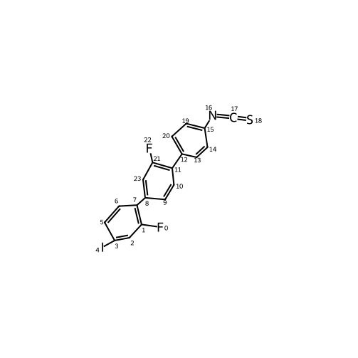 Fc1cc(I)ccc1-c1ccc(-c2ccc(N=C=S)cc2)c(F)c1